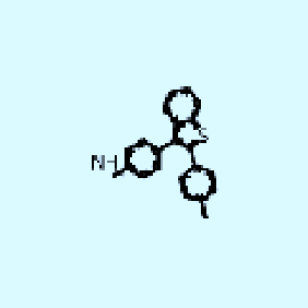 Cc1ccc(-c2sc3ccccc3c2-c2ccc(C)cc2)cc1.N